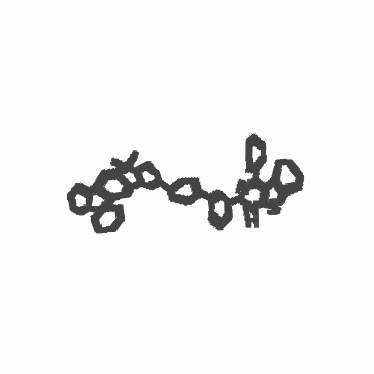 CC1(C)C2=CC3c4ccccc4C4(CCCCC4)C3C=C2c2cc(-c3ccc(-c4cccc(C5N=C(c6ccccc6)c6c(sc7ccccc67)N5)c4)cc3)ccc21